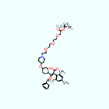 Cc1cc(C)c(/C(C(=O)O)=C(\OCc2ccccc2)C2CCC(OC3CCN(CCOCCOCCOCC(=O)OC(C)(C)C)CC3)CC2)c(C)c1